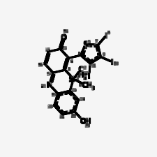 C[Si]1(C)C2=C(c3sc(I)c(I)c3I)C(=O)C=CC2=Nc2ccc(O)cc21